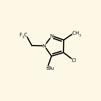 Cc1nn(CC(F)(F)F)c(C(C)(C)C)c1Cl